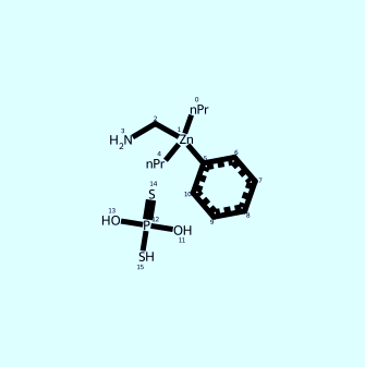 CC[CH2][Zn]([CH2]N)([CH2]CC)[c]1ccccc1.OP(O)(=S)S